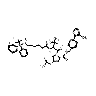 CC(=O)O[C@@H]1C[C@@H](C(=O)NCc2ccc(-c3scnc3C)cc2)N(C(=O)C(NC(=O)CCCCCO[Si](c2ccccc2)(c2ccccc2)C(C)(C)C)C(C)(C)C)C1